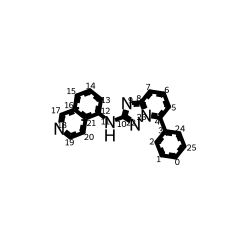 c1ccc(-c2cccc3nc(Nc4cccc5cnccc45)nn23)cc1